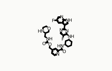 O=C(NCC1COCCN1)OCc1ccnc(C(=O)N[C@H]2CCC[C@@H](Nc3nc(-c4c[nH]c5ncc(F)cc45)ncc3F)C2)c1